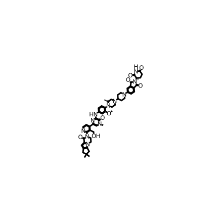 COc1cc(Nc2nc(-c3ccnc(N4CCn5c(cc6c5CC(C)(C)C6)C4=O)c3CO)cn(C)c2=O)ccc1N1CCN(C2CCN(c3ccc4c(c3)C(=O)N([C@H]3CCC(=O)NC3=O)C4=O)CC2)C[C@@H]1C